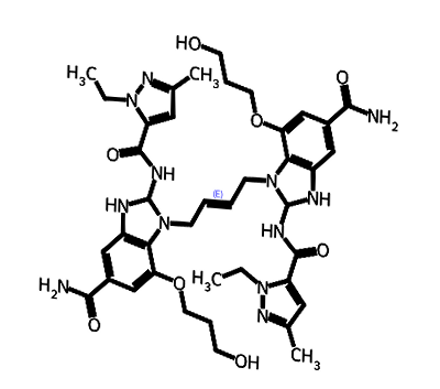 CCn1nc(C)cc1C(=O)NC1Nc2cc(C(N)=O)cc(OCCCO)c2N1C/C=C/CN1c2c(cc(C(N)=O)cc2OCCCO)NC1NC(=O)c1cc(C)nn1CC